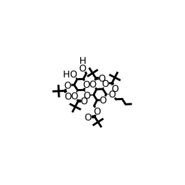 CCCCO[C@@H]1OC(COC(=O)C(C)(C)C)[C@@H](O[C@@H]2OC(CO)[C@H](O)C(OC(=O)C(C)(C)C)[C@@H]2OC(=O)C(C)(C)C)C(OC(=O)C(C)(C)C)[C@@H]1OC(=O)C(C)(C)C